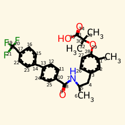 Cc1cc(CC(C)NC(=O)c2ccc(-c3ccc(C(F)(F)F)cc3)cc2)ccc1OC(C)(C)C(=O)O